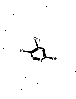 Cc1cc(O)nnc1O